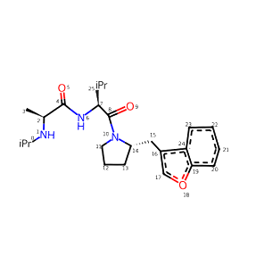 CC(C)N[C@@H](C)C(=O)N[C@H](C(=O)N1CCC[C@H]1Cc1coc2ccccc12)C(C)C